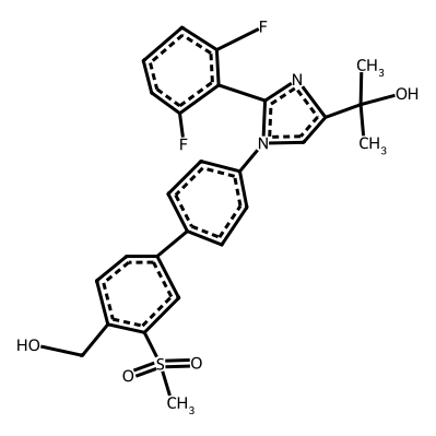 CC(C)(O)c1cn(-c2ccc(-c3ccc(CO)c(S(C)(=O)=O)c3)cc2)c(-c2c(F)cccc2F)n1